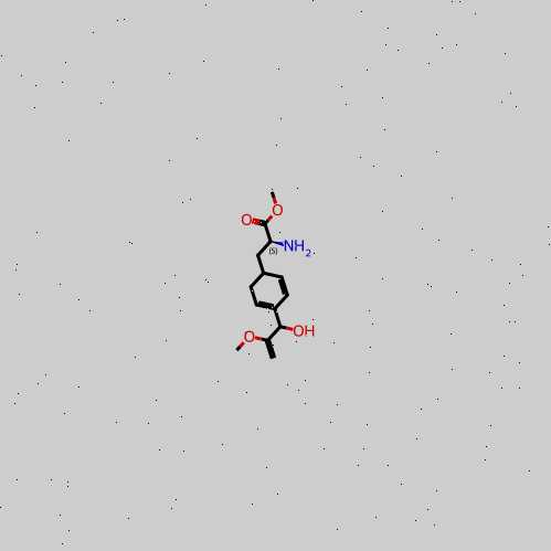 C=C(OC)C(O)C1=CCC(C[C@H](N)C(=O)OC)C=C1